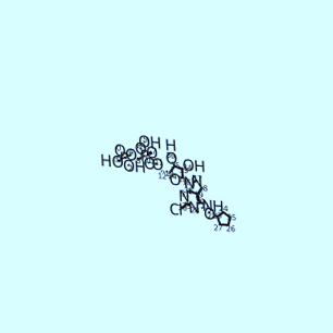 O=P(O)(O)OCP(=O)(OO)OOC[C@H]1O[C@@H](n2ncc3c(NOC4CCCC4)nc(Cl)nc32)[C@H](O)[C@@H]1O